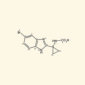 O=C(O)NC1(c2nc3cc(Br)ccc3[nH]2)CC1